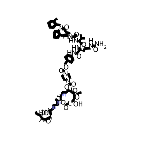 C#Cc1ccccc1N(Cc1ccccc1C)C(=O)CCNC(=O)N[C@H](C(=O)N[C@@H](CCCNC(N)=O)C(=O)Nc1ccc(COC(=O)N2CCN(C(=O)O[C@H]3/C=C/[C@H](C)[C@@H](/C(C)=C/C=C/[C@](C)(O)C[C@H]4O[C@@H]4[C@H](C)[C@@H](O)CC)OC(=O)C[C@H](O)CC[C@@]3(C)OC(C)=O)CC2)cc1)C(C)C